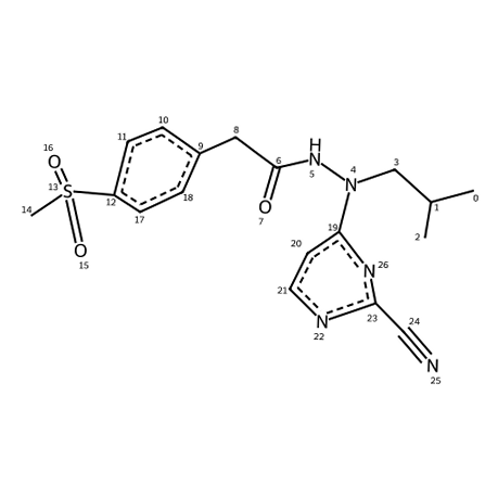 CC(C)CN(NC(=O)Cc1ccc(S(C)(=O)=O)cc1)c1ccnc(C#N)n1